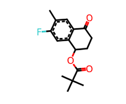 Cc1cc2c(cc1F)C(OC(=O)C(C)(C)C)CCC2=O